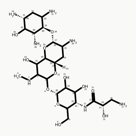 CNC1C(O[C@H]2OC(CO)[C@@H](NC(=O)[C@@H](O)CN)C(O)C2O)O[C@H]2CC(N)[C@@H](O[C@@H]3C(N)C[C@@H](N)C(O)[C@H]3N)OC2C1O